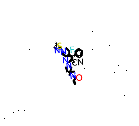 C=CC(=O)N1CC2(CCN(c3nc4c(c(-c5ccccc5F)c3C#N)CCN(c3ncc(C)s3)C4)C2)C1